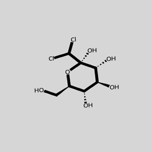 OC[C@H]1O[C@@](O)(C(Cl)Cl)[C@H](O)[C@@H](O)[C@@H]1O